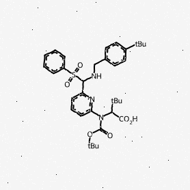 CC(C)(C)OC(=O)N(c1cccc(C(NCc2ccc(C(C)(C)C)cc2)S(=O)(=O)c2ccccc2)n1)C(C(=O)O)C(C)(C)C